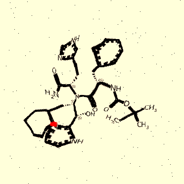 CC(C)(C)OC(=O)N[C@@H](Cc1ccccc1)C(=O)N([C@@H](Cc1c[nH]cn1)C(N)=O)[C@@H](CC1CCCCC1)[C@H](O)c1ncc[nH]1